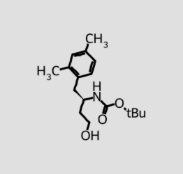 Cc1ccc(C[C@H](CCO)NC(=O)OC(C)(C)C)c(C)c1